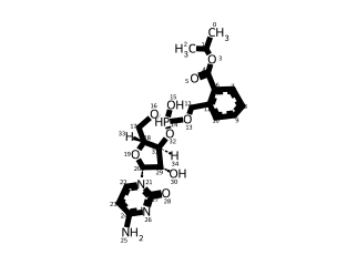 CC(C)OC(=O)c1ccccc1CO[PH]1(O)OC[C@H]2O[C@@H](n3ccc(N)nc3=O)[C@@H](O)[C@@H]2O1